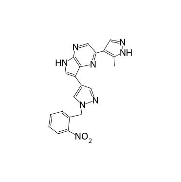 Cc1[nH]ncc1-c1cnc2[nH]cc(-c3cnn(Cc4ccccc4[N+](=O)[O-])c3)c2n1